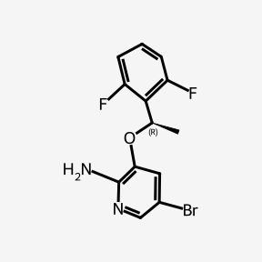 C[C@@H](Oc1cc(Br)cnc1N)c1c(F)cccc1F